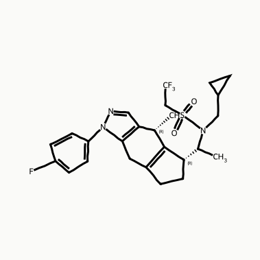 CC([C@@H]1CCC2=C1[C@@H](C)c1cnn(-c3ccc(F)cc3)c1C2)N(CC1CC1)S(=O)(=O)CC(F)(F)F